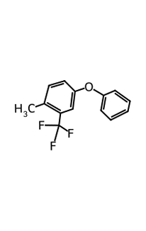 Cc1ccc(Oc2ccccc2)cc1C(F)(F)F